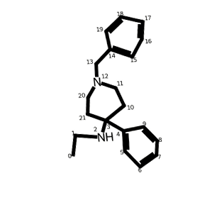 CCNC1(c2ccccc2)CCN(Cc2ccccc2)CC1